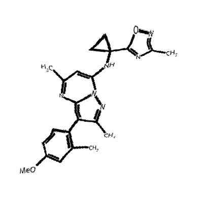 COc1ccc(-c2c(C)nn3c(NC4(c5nc(C)no5)CC4)cc(C)nc23)c(C)c1